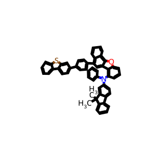 CC1(C)c2ccccc2-c2ccc(N(c3ccccc3)c3cccc4oc5c6ccccc6c(-c6ccc(-c7ccc8c(c7)sc7ccccc78)cc6)cc5c34)cc21